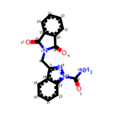 NC(=O)n1nc(CN2C(=O)c3ccccc3C2=O)c2c[c]ccc21